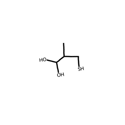 CC(CS)C(O)O